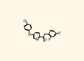 Fc1cc(Cl)ccc1CC1(c2ccc(Oc3ccc(Cl)cc3)cn2)CO1